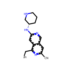 CC(C)Cc1nc(C#N)cc2cnc(N[C@H]3CCCNC3)cc12